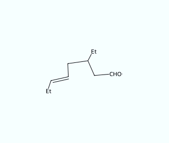 CC/C=C/CC(CC)C[C]=O